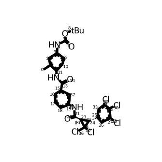 Cc1cc(NC(=O)OC(C)(C)C)ccc1NC(=O)c1cccc(NC(=O)[C@H]2[C@H](c3cc(Cl)c(Cl)c(Cl)c3)C2(Cl)Cl)c1